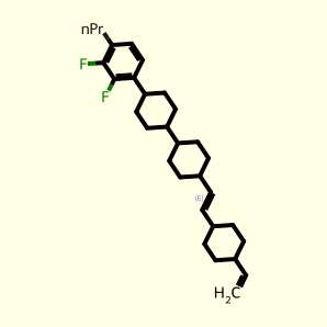 C=CC1CCC(/C=C/C2CCC(C3CCC(c4ccc(CCC)c(F)c4F)CC3)CC2)CC1